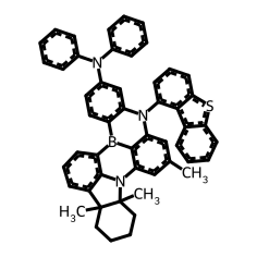 Cc1cc2c3c(c1)N1c4c(cccc4C4(C)CCCCC14C)B3c1ccc(N(c3ccccc3)c3ccccc3)cc1N2c1cccc2sc3ccccc3c12